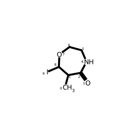 CC1C(=O)NCCOC1I